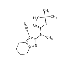 CN(C(=O)OC(C)(C)C)c1sc2c(c1C#N)CCCC2